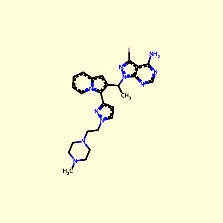 CC(c1cc2ccccn2c1-c1ccn(CCN2CCN(C)CC2)n1)n1nc(I)c2c(N)ncnc21